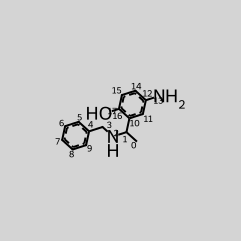 CC(NCc1ccccc1)c1cc(N)ccc1O